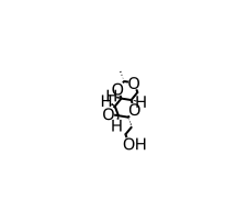 C[C@@H]1OC[C@H]2O[C@H](CCO)[C@@H]3O[C@@H]3[C@@H]2O1